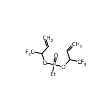 C=CC(OP(=O)(CC)OC(C=C)C(F)(F)F)C(F)(F)F